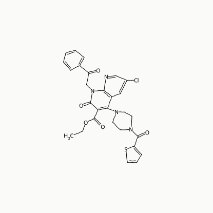 CCOC(=O)c1c(N2CCN(C(=O)c3cccs3)CC2)c2cc(Cl)cnc2n(CC(=O)c2ccccc2)c1=O